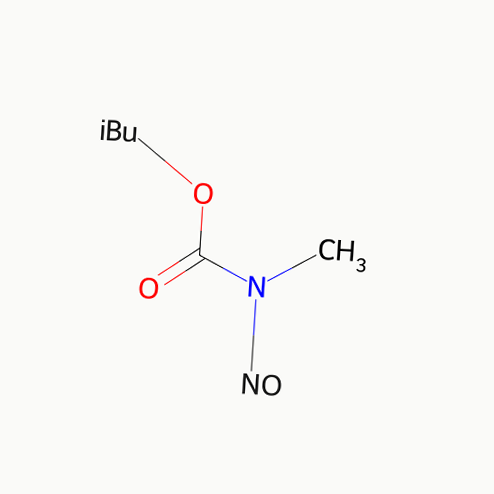 CCC(C)OC(=O)N(C)N=O